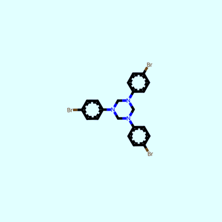 Brc1ccc(N2CN(c3ccc(Br)cc3)CN(c3ccc(Br)cc3)C2)cc1